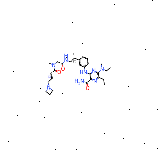 CCc1nc(C(N)=O)c(Nc2cccc([C@@H](C)CNC(=O)CN(C)C(=O)/C=C/CN3CCC3)c2)nc1N(C)CC